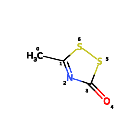 Cc1nc(=O)ss1